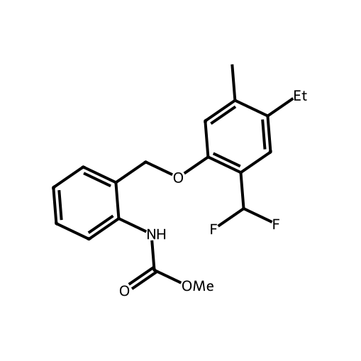 CCc1cc(C(F)F)c(OCc2ccccc2NC(=O)OC)cc1C